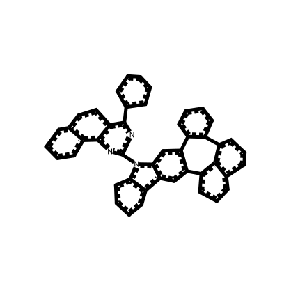 c1ccc(-c2nc(-n3c4ccccc4c4cc5c(cc43)-c3ccccc3-c3cccc4cccc-5c34)nc3c2ccc2ccccc23)cc1